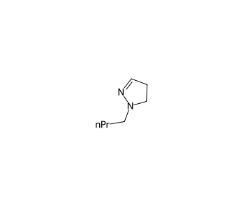 [CH2]CCCN1CCC=N1